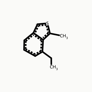 CCc1cccc2[c]sc(C)c12